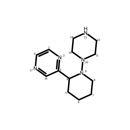 c1cnc(C2CCCCN2N2CCNCC2)cn1